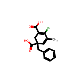 CC1=CC(Cc2ccccc2)(C(=O)O)CC(C(=O)O)=C1Br